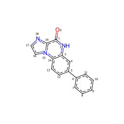 O=c1[nH]c2cc(-c3ccccc3)ccc2n2ccnc12